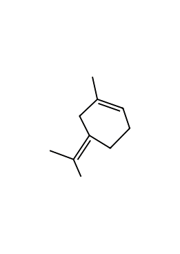 CC1=CCCC(=C(C)C)C1